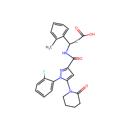 Cc1ccccc1C(CC(=O)O)NC(=O)c1cc(N2CCCCC2=O)n(-c2ccccc2F)n1